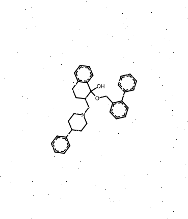 OC1(OCc2ccccc2-c2ccccc2)c2ccccc2CCC1CN1CCC(c2ccccc2)CC1